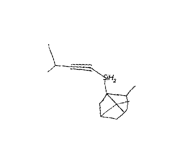 CC(C)C#C[SiH2]C12CC(CCC1C)C2(C)C